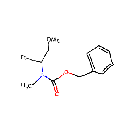 CCC(COC)N(C)C(=O)OCc1ccccc1